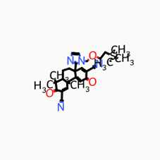 CC1(C)C(=O)C(C#N)=CC2(C)C3=CC(=O)C(C#N)=CC3(c3nccn3COCC[Si](C)(C)C)CCC12